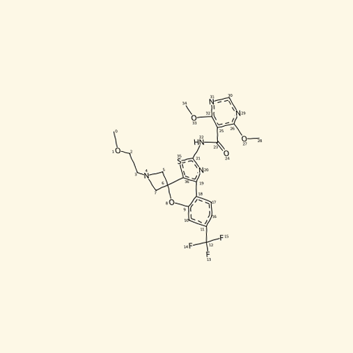 COCCN1CC2(C1)Oc1cc(C(F)(F)F)ccc1-c1nc(NC(=O)c3c(OC)ncnc3OC)sc12